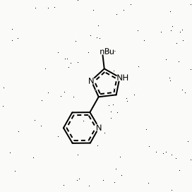 CCC[CH]c1nc(-c2ccccn2)c[nH]1